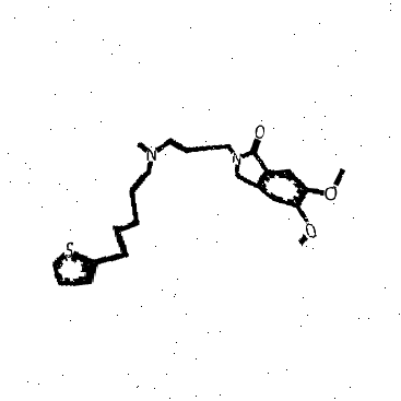 COc1cc2c(cc1OC)C(=O)N(CCCN(C)CCCCCc1cccs1)C2